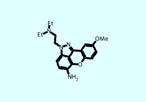 CCN(CC)CCn1nc2c3c(c(N)ccc31)Oc1ccc(OC)cc1-2